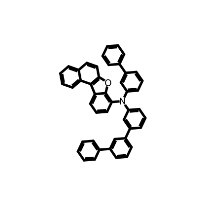 c1ccc(-c2cccc(-c3cccc(N(c4cccc(-c5ccccc5)c4)c4cccc5c4oc4ccc6ccccc6c45)c3)c2)cc1